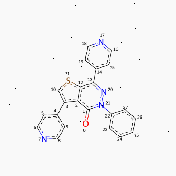 O=c1c2c(-c3ccncc3)csc2c(-c2ccncc2)nn1-c1ccccc1